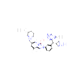 C[C@H]1CCCN(Cc2cc(C(F)(F)F)c3cn(-c4cccc([C@@H](c5nncn5C)C5CNC5)c4)c(=O)n3c2)C1